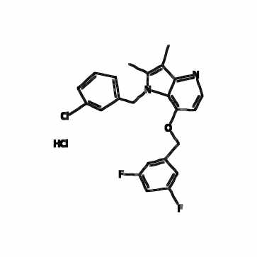 Cc1c(C)n(Cc2cccc(Cl)c2)c2c(OCc3cc(F)cc(F)c3)ccnc12.Cl